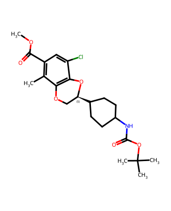 COC(=O)c1cc(Cl)c2c(c1C)OC[C@H](C1CCC(NC(=O)OC(C)(C)C)CC1)O2